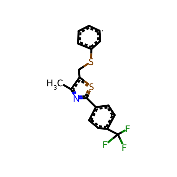 Cc1nc(-c2ccc(C(F)(F)F)cc2)sc1CSc1c[c]ccc1